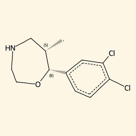 [CH2][C@H]1CNCCO[C@H]1c1ccc(Cl)c(Cl)c1